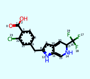 O=C(O)c1ccc(Cc2cc3c([nH]2)=CNC(C(F)(F)F)C=3)cc1Cl